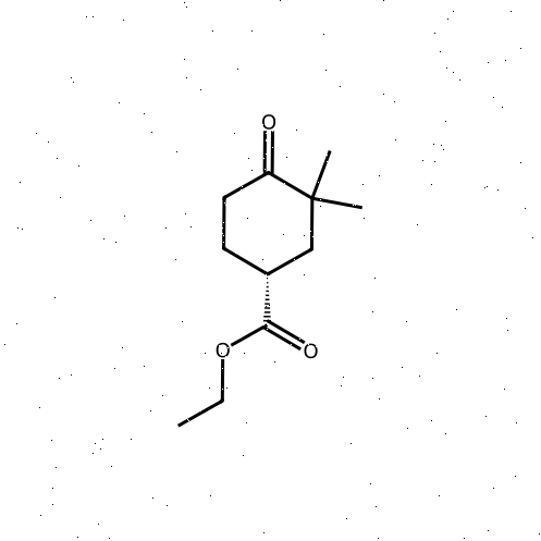 CCOC(=O)[C@@H]1CCC(=O)C(C)(C)C1